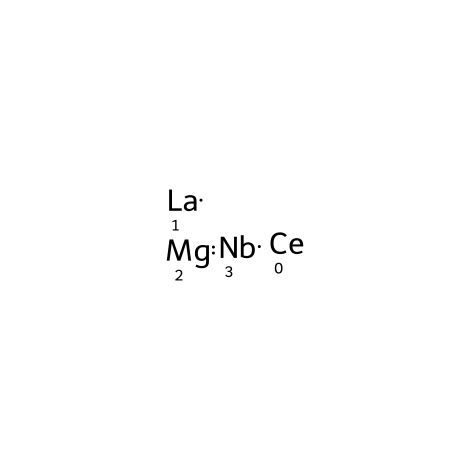 [Ce].[La].[Mg].[Nb]